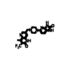 Cc1c(C(F)(F)F)c(=O)[nH]c2cc(CN3CCN(c4ccc5[nH]c(=O)[nH]c5n4)CC3)cnc12